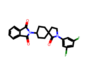 O=C1c2ccccc2C(=O)N1C1CCC2(CC1)CCN(c1cc(F)cc(F)c1)C2=O